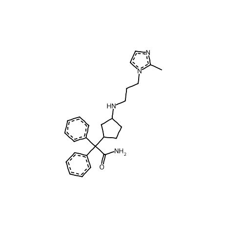 Cc1nccn1CCCNC1CCC(C(C(N)=O)(c2ccccc2)c2ccccc2)C1